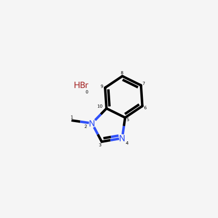 Br.Cn1cnc2ccccc21